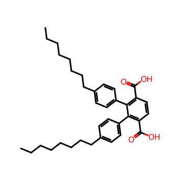 CCCCCCCCc1ccc(-c2c(C(=O)O)ccc(C(=O)O)c2-c2ccc(CCCCCCCC)cc2)cc1